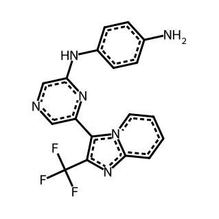 Nc1ccc(Nc2cncc(-c3c(C(F)(F)F)nc4ccccn34)n2)cc1